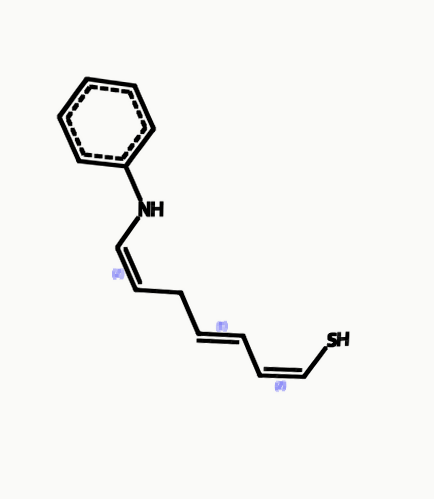 S/C=C\C=C\C/C=C\Nc1ccccc1